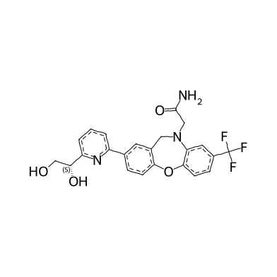 NC(=O)CN1Cc2cc(-c3cccc([C@H](O)CO)n3)ccc2Oc2ccc(C(F)(F)F)cc21